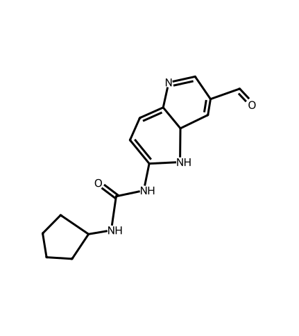 O=CC1=CC2NC(NC(=O)NC3CCCC3)=CC=C2N=C1